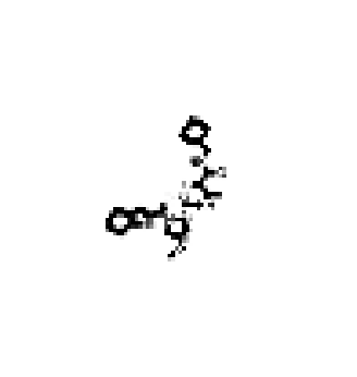 CO[C@@H]1C[C@@H](C(=O)NC(C)C(=O)C(=O)NCc2ccccc2)N(C(=O)c2cc3ccccc3[nH]2)C1